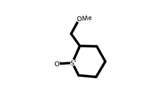 COCC1CCCC[S+]1[O-]